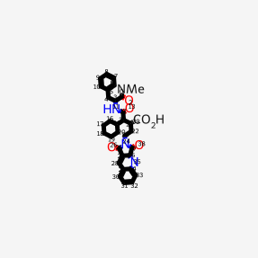 CNC(=O)C(Cc1ccccc1)NC(=O)C(C1CCCCC1)C(CCN1C(=O)c2cc3ccccc3nc2C1=O)C(=O)O